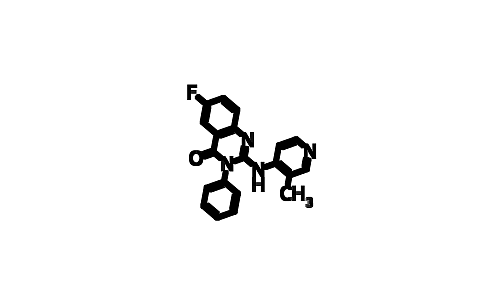 Cc1cnccc1Nc1nc2ccc(F)cc2c(=O)n1-c1ccccc1